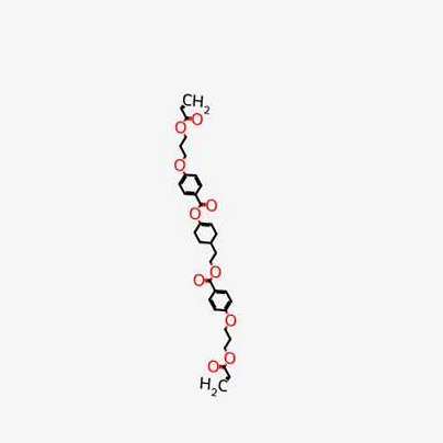 C=CC(=O)OCCCOc1ccc(C(=O)OCCC2CC=C(OC(=O)c3ccc(OCCCOC(=O)C=C)cc3)CC2)cc1